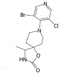 CC1NC(=O)OC12CCN(c1c(Cl)cncc1Br)CC2